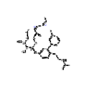 C=C(/C=C\C=C/C)[C@H]1O[C@@H](Oc2ccc(CCNC(C)=O)c(-c3cccc(F)c3)c2)[C@H](O)[C@H](O)[C@H]1OC